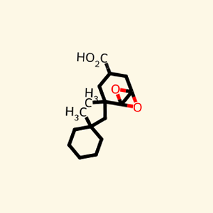 CC1(CC2(C)CC(C(=O)O)CC34OC23O4)CCCCC1